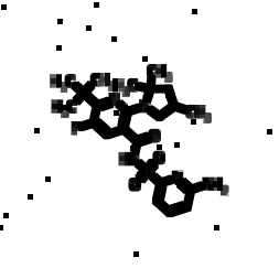 CC1CN(c2nc(C(C)(C)C)c(F)cc2C(=O)NS(=O)(=O)c2cccc(N)n2)C(C)(C)C1